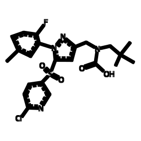 Cc1ccc(F)c(-n2nc(CN(CC(C)(C)C)C(=O)O)cc2S(=O)(=O)c2ccc(Cl)nc2)c1